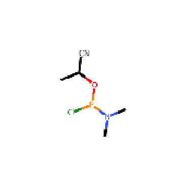 CC(C#N)OP(Cl)N(C)C